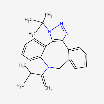 C=C(C(C)C)N1Cc2ccccc2-c2nnn(C(C)(C)C)c2-c2ccccc21